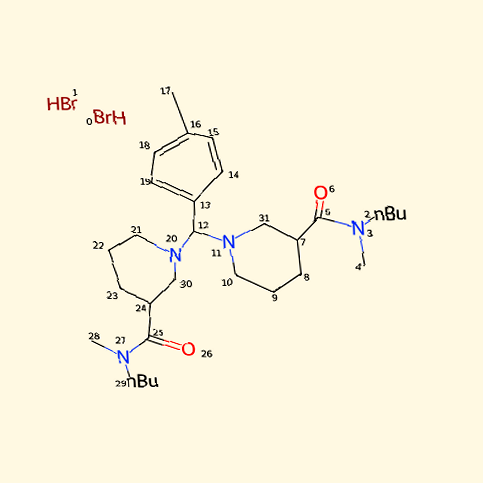 Br.Br.CCCCN(C)C(=O)C1CCCN(C(c2ccc(C)cc2)N2CCCC(C(=O)N(C)CCCC)C2)C1